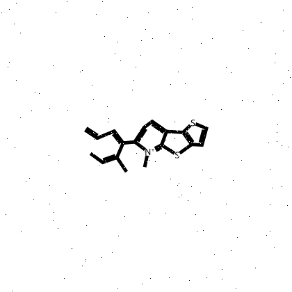 C=C/C=C(\C(C)=C/C)c1ccc2c3sccc3sc2[n+]1C